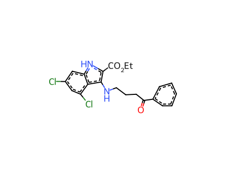 CCOC(=O)c1[nH]c2cc(Cl)cc(Cl)c2c1NCCCC(=O)c1ccccc1